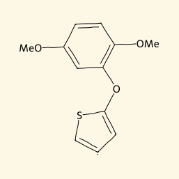 COc1ccc(OC)c(Oc2c[c]cs2)c1